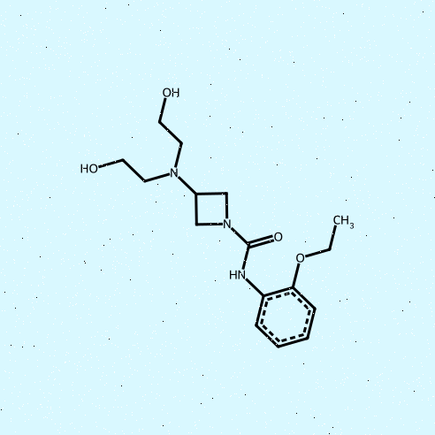 CCOc1ccccc1NC(=O)N1CC(N(CCO)CCO)C1